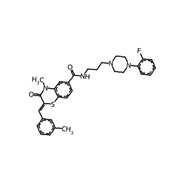 Cc1cccc(/C=C2\Sc3ccc(C(=O)NCCCN4CCN(c5ccccc5F)CC4)cc3N(C)C2=O)c1